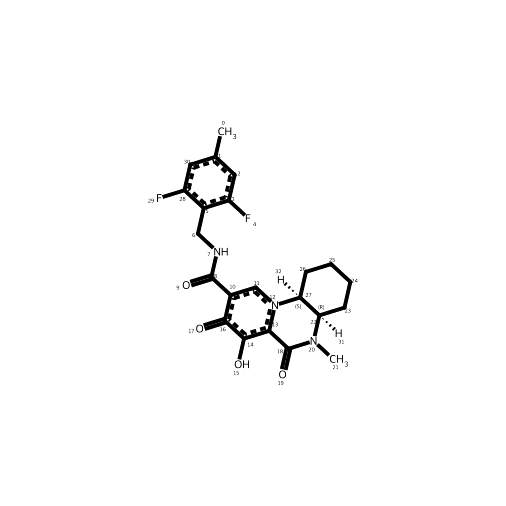 Cc1cc(F)c(CNC(=O)c2cn3c(c(O)c2=O)C(=O)N(C)[C@@H]2CCCC[C@@H]23)c(F)c1